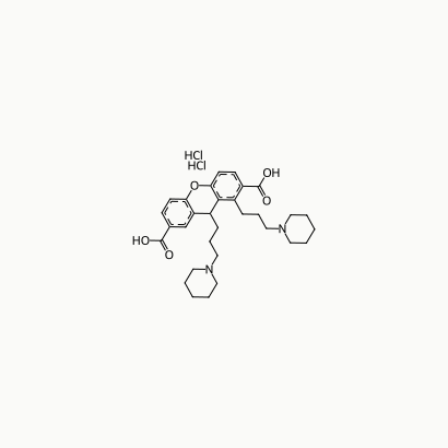 Cl.Cl.O=C(O)c1ccc2c(c1)C(CCCN1CCCCC1)c1c(ccc(C(=O)O)c1CCCN1CCCCC1)O2